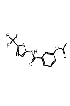 CC(=O)Oc1cccc(C(=O)Nc2cnc(C(F)(F)F)s2)c1